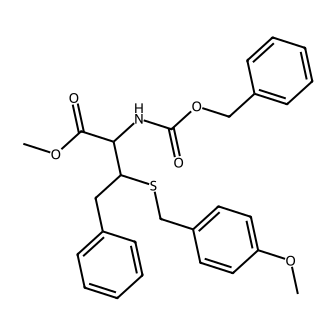 COC(=O)C(NC(=O)OCc1ccccc1)C(Cc1ccccc1)SCc1ccc(OC)cc1